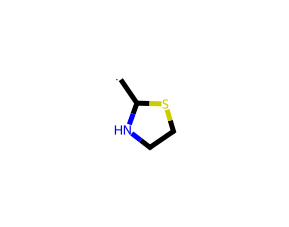 [CH2]C1NCCS1